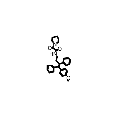 COc1ccc(/C(=C(/CCNC(=O)C(=O)N2CCCCC2)c2ccccc2)c2ccccc2)cc1